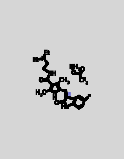 CCN(CC)CCNC(=O)c1c(C)[nH]c(/C=C2\C(=O)Nc3ccc(F)cc32)c1C.NOC(=O)C(F)(F)F